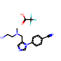 CN(CCN)Cc1cncn1-c1ccc(C#N)cc1.O=C(O)C(F)(F)F